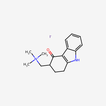 C[N+](C)(C)CC1CCc2[nH]c3ccccc3c2C1=O.[I-]